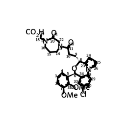 COc1cccc([C@H]2O[C@H](CCC(=O)N3CCCN(CC(=O)O)C(=O)C3)c3cccn3-c3ccc(Cl)cc32)c1OC